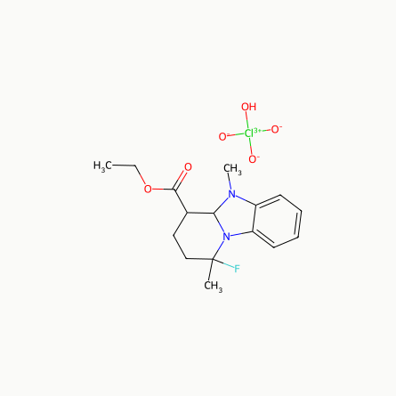 CCOC(=O)C1CCC(C)(F)N2c3ccccc3N(C)C12.[O-][Cl+3]([O-])([O-])O